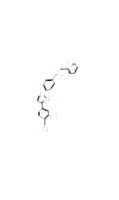 N#Cc1ccc(-c2ccn(-c3ccc(CNC(=O)c4ccccn4)c(F)c3)n2)cc1Cl